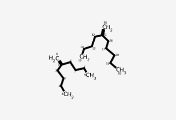 C=C(CCCC)CCCC.C=C(CCCC)CCCCC